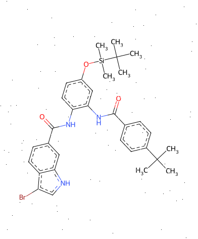 CC(C)(C)c1ccc(C(=O)Nc2cc(O[Si](C)(C)C(C)(C)C)ccc2NC(=O)c2ccc3c(Br)c[nH]c3c2)cc1